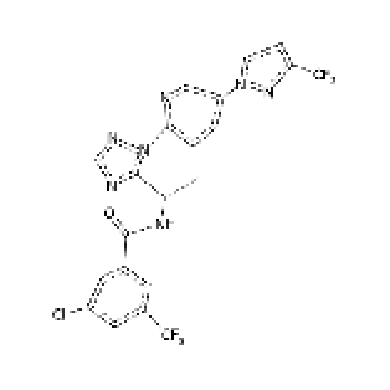 C[C@H](NC(=O)c1cc(Cl)cc(C(F)(F)F)c1)c1ncnn1-c1ccc(-n2ccc(C(F)(F)F)n2)cn1